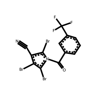 N#Cc1c(Br)c(Br)n(C(=O)c2cccc(C(F)(F)F)c2)c1Br